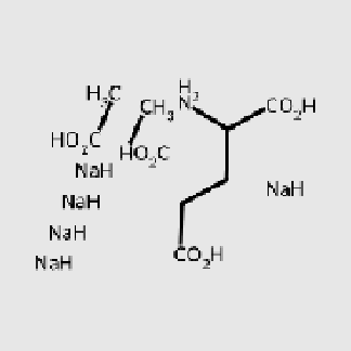 CC(=O)O.CC(=O)O.NC(CCC(=O)O)C(=O)O.[NaH].[NaH].[NaH].[NaH].[NaH]